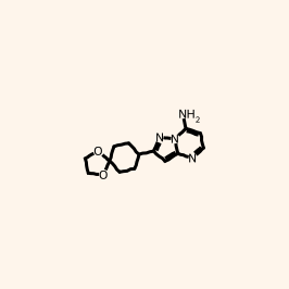 Nc1ccnc2cc(C3CCC4(CC3)OCCO4)nn12